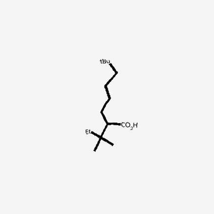 CCC(C)(C)C(CCCCC(C)(C)C)C(=O)O